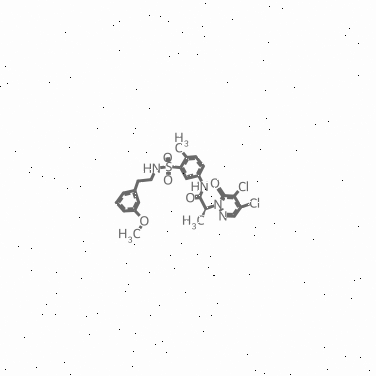 COc1cccc(CCNS(=O)(=O)c2cc(NC(=O)[C@H](C)n3ncc(Cl)c(Cl)c3=O)ccc2C)c1